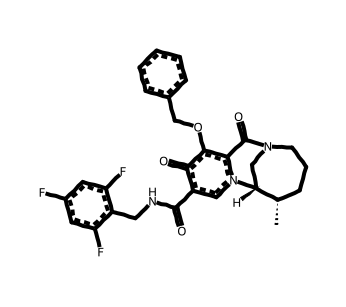 C[C@H]1CCCN2C[C@H]1n1cc(C(=O)NCc3c(F)cc(F)cc3F)c(=O)c(OCc3ccccc3)c1C2=O